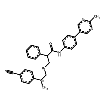 Cc1ncc(-c2ccc(NC(=O)C(CNC[C@@H](C)c3ccc(C#N)cc3)c3ccccc3)cc2)cn1